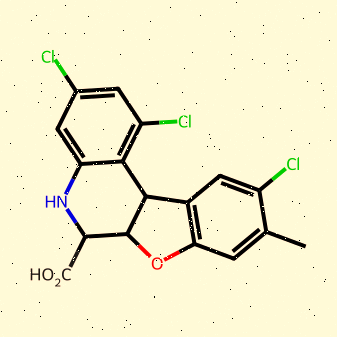 Cc1cc2c(cc1Cl)C1c3c(Cl)cc(Cl)cc3NC(C(=O)O)C1O2